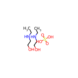 CCNCCO.CCNCCO.O=S(=O)(O)O